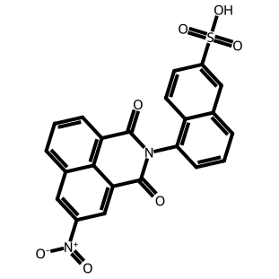 O=C1c2cccc3cc([N+](=O)[O-])cc(c23)C(=O)N1c1cccc2cc(S(=O)(=O)O)ccc12